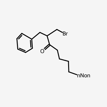 CCCCCCCCCCCCCC(=O)C(CBr)Cc1ccccc1